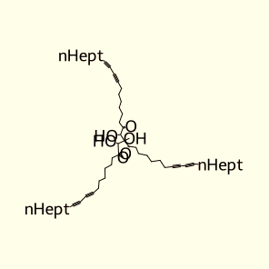 CCCCCCCC#CC#CCCCCCCC(=O)C(O)C(O)(C(=O)CCCCCCC#CC#CCCCCCCC)C(O)C(=O)CCCCCCC#CC#CCCCCCCC